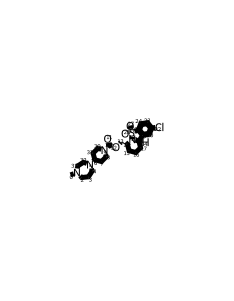 CN1CCCN(C2CCN(C(=O)OC[C@H]3CCC[C@H]4c5cc(Cl)ccc5S(=O)(=O)N34)CC2)CC1